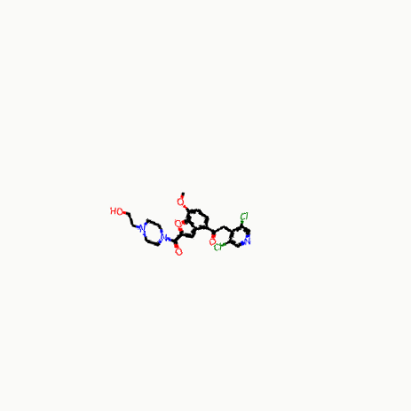 COc1ccc(C(=O)Cc2c(Cl)cncc2Cl)c2cc(C(=O)N3CCN(CCO)CC3)oc12